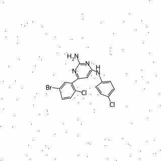 Nc1nc(Nc2ccc(Cl)cc2)cc(-c2cc(Br)ccc2Cl)n1